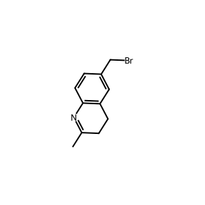 CC1=Nc2ccc(CBr)cc2CC1